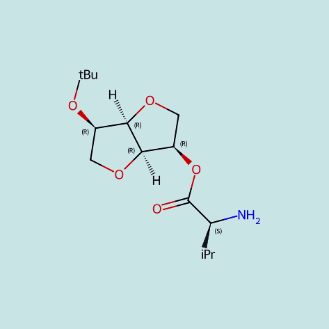 CC(C)[C@H](N)C(=O)O[C@@H]1CO[C@H]2[C@@H]1OC[C@H]2OC(C)(C)C